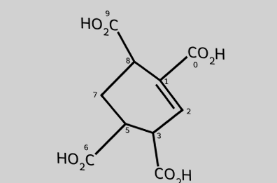 O=C(O)C1=CC(C(=O)O)C(C(=O)O)CC1C(=O)O